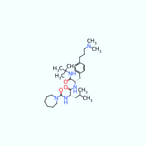 CC(C)C[C@H](NC(=O)N1CCCCCC1)C(=O)N[C@@H](Cc1ccc(CCCN(C)C)cc1)C(=O)NC(C)(C)C